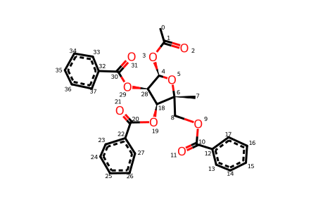 CC(=O)O[C@H]1O[C@](C)(COC(=O)c2ccccc2)[C@@H](OC(=O)c2ccccc2)[C@H]1OC(=O)c1ccccc1